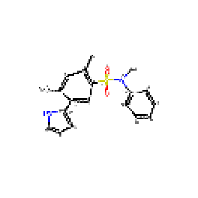 COc1cc(C)c(S(=O)(=O)N(C)c2ccccc2)cc1-c1ccc[nH]1